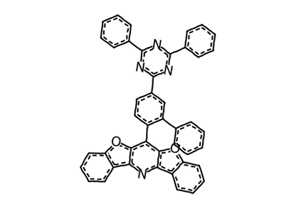 c1ccc(-c2nc(-c3ccccc3)nc(-c3ccc(-c4c5oc6ccccc6c5nc5c4oc4ccccc45)c(-c4ccccc4)c3)n2)cc1